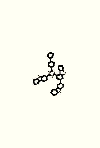 C1=Cc2c(sc3ccc(-c4cc(-c5nc(-c6ccc(-c7ccccc7)cc6)nc(-c6ccc7c(c6)sc6ccccc67)n5)c5c(c4)oc4ccccc45)cc23)CC1